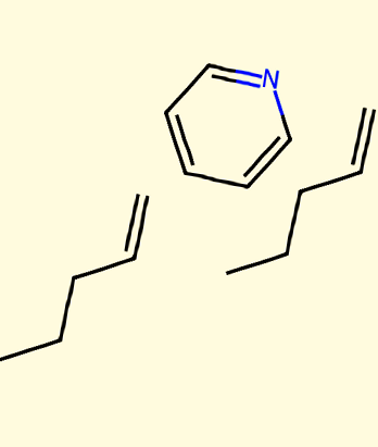 C=CCCC.C=CCCC.c1ccncc1